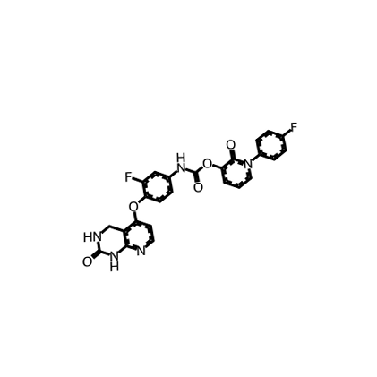 O=C1NCc2c(Oc3ccc(NC(=O)Oc4cccn(-c5ccc(F)cc5)c4=O)cc3F)ccnc2N1